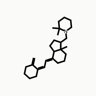 C=C1CCCC/C1=C/C=C1\CCCC2(C)C(CN3CCCCC3(C)C)CCC12